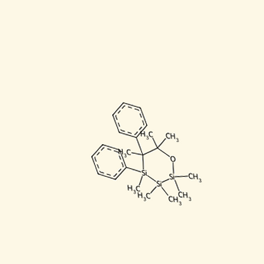 CC1(C)O[Si](C)(C)[Si](C)(C)[Si](C)(c2ccccc2)C1(C)c1ccccc1